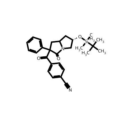 CC(C)(C)[Si](C)(C)O[C@H]1CC2CC(C(=O)c3ccc(C#N)cc3)(c3ccccc3)C(=O)N2C1